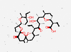 CC[C@@H](C(=O)[C@@H](C)[C@@H](O)[C@H](C)[C@@H]1O[C@@H]([C@@H](CC)C(=O)O)CC[C@@H]1C)[C@H]1O[C@@]2(O[C@@]3(CC[C@@](C)([C@H]4CC[C@](O)(CC)[C@H](C)O4)O3)C(=O)CC2C)[C@H](C)C[C@@H]1C